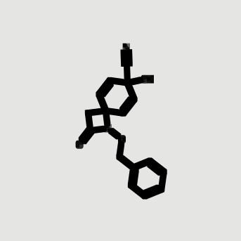 N#CC1(O)C=CC2(C=C1)CC(=O)N2OCc1ccccc1